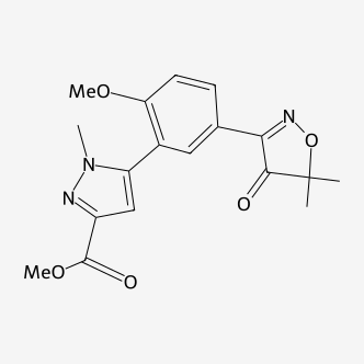 COC(=O)c1cc(-c2cc(C3=NOC(C)(C)C3=O)ccc2OC)n(C)n1